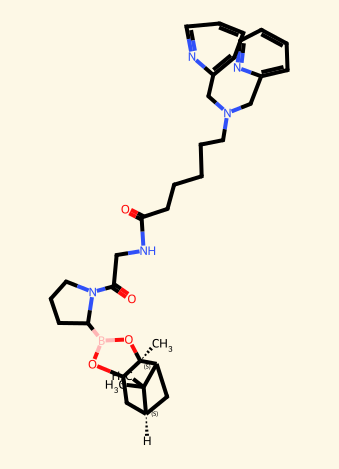 CC1(C)C2C[C@H]1CC1OB(C3CCCN3C(=O)CNC(=O)CCCCCN(Cc3ccccn3)Cc3ccccn3)O[C@]12C